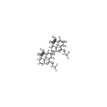 COC(=O)C1=C(C)NC(C)=C(C(=O)OCC(C)C)C1c1ccccc1[N+](=O)[O-].COC(=O)C1=C(C)NC(C)=C(C(=O)OCC(C)C)C1c1ccccc1[N+](=O)[O-]